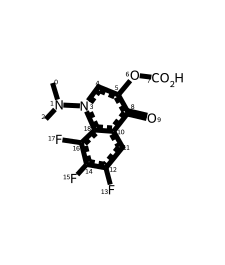 CN(C)n1cc(OC(=O)O)c(=O)c2cc(F)c(F)c(F)c21